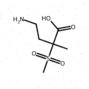 CC(CCN)(C(=O)O)S(C)(=O)=O